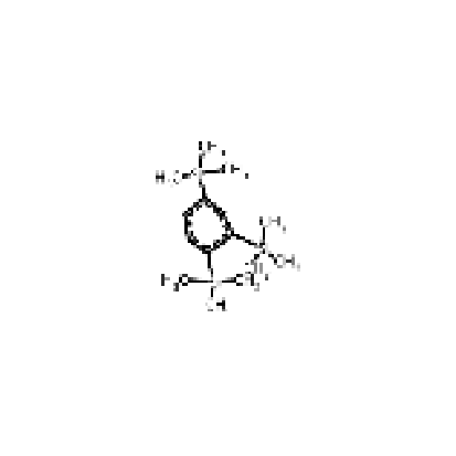 C[Si](C)(C)c1[c]c([Si](C)(C)C)c([Si](C)(C)C)cc1